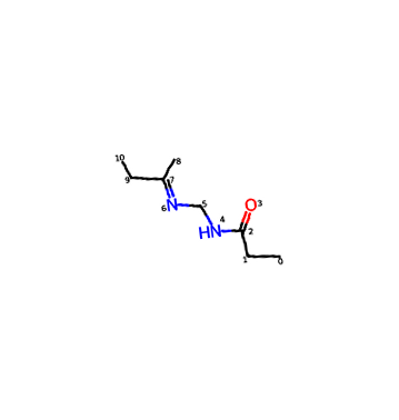 CCC(=O)NC/N=C(\C)CC